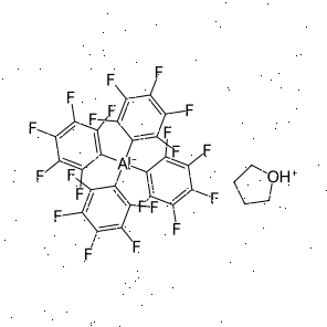 C1CC[OH+]C1.Fc1c(F)c(F)[c]([Al-]([c]2c(F)c(F)c(F)c(F)c2F)([c]2c(F)c(F)c(F)c(F)c2F)[c]2c(F)c(F)c(F)c(F)c2F)c(F)c1F